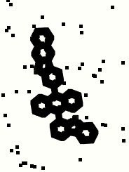 c1ccc2cc3c(cc2c1)sc1cc(-c2c4ccccc4c(-c4cccc5c4sc4ccccc45)c4ccccc24)ccc13